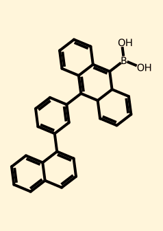 OB(O)C1=c2ccccc2=C(c2cccc(-c3cccc4ccccc34)c2)C2C=CC=CC12